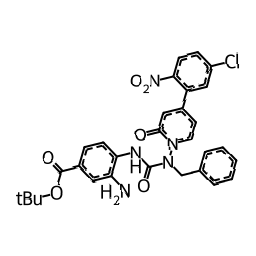 CC(C)(C)OC(=O)c1ccc(NC(=O)N(Cc2ccccc2)n2ccc(-c3cc(Cl)ccc3[N+](=O)[O-])cc2=O)c(N)c1